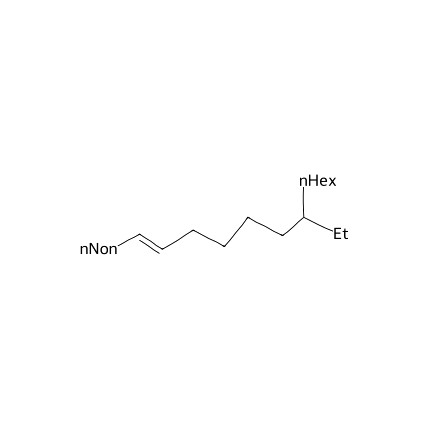 [CH2]CCCCCCCC/C=C/CCCCC(CC)CCCCC[CH2]